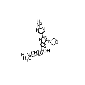 CC(N)(C=O)CN1CCC(O)(c2cc3nc(-c4cnc(N)nc4)nc(N4CCOCC4)c3s2)CC1